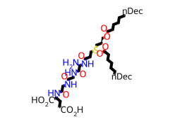 CCCCCCCCCCCCCCCC(=O)OC[C@H](CSCCC(=O)N[C@@H](N)C(=O)NCC(=O)NCC(=O)NC(CCC(=O)O)C(=O)O)OC(=O)CCCCCCCCCCCCCCC